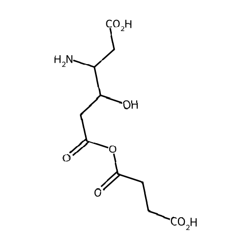 NC(CC(=O)O)C(O)CC(=O)OC(=O)CCC(=O)O